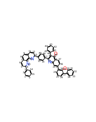 c1ccc(-c2ccc3ccc4ccc(-c5ccc(-c6nc7cc(-c8cccc9c8oc8ccccc89)ccc7c7oc8ccccc8c67)cc5)nc4c3n2)cc1